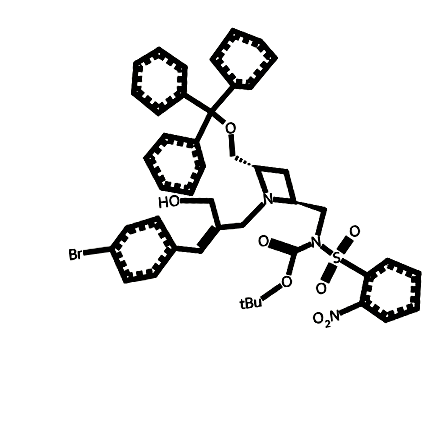 CC(C)(C)OC(=O)N(C[C@@H]1C[C@@H](COC(c2ccccc2)(c2ccccc2)c2ccccc2)N1CC(=Cc1ccc(Br)cc1)CO)S(=O)(=O)c1ccccc1[N+](=O)[O-]